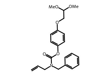 C=CCN(Cc1ccccc1)C(=O)Oc1ccc(OCC(OC)OC)cc1